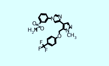 Cn1ncc(-c2cn(-c3cccc(S(N)(=O)=O)c3)cn2)c1COc1ccc(C(F)(F)F)cc1